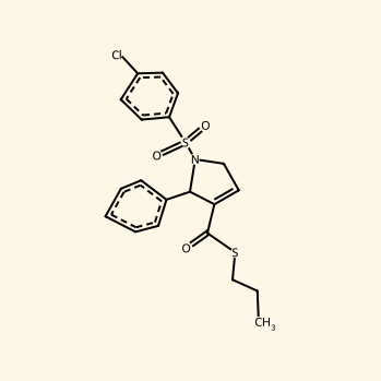 CCCSC(=O)C1=CCN(S(=O)(=O)c2ccc(Cl)cc2)C1c1ccccc1